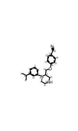 CC(C)c1cccc(N2CCNCC2COc2ccc(C#N)cc2)c1